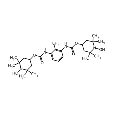 Cc1c(NC(=O)OC2CC(C)(C)N(O)C(C)(C)C2)cccc1NC(=O)OC1CC(C)(C)N(O)C(C)(C)C1